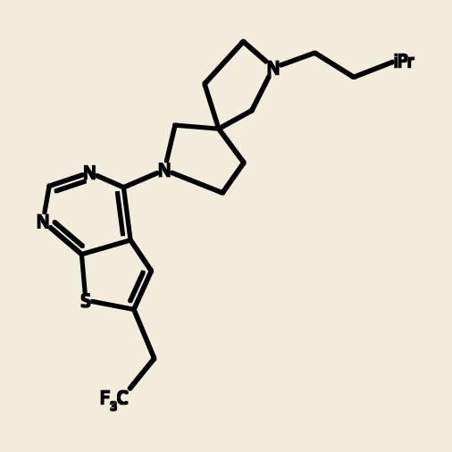 CC(C)CCN1CCC2(CCN(c3ncnc4sc(CC(F)(F)F)cc34)C2)C1